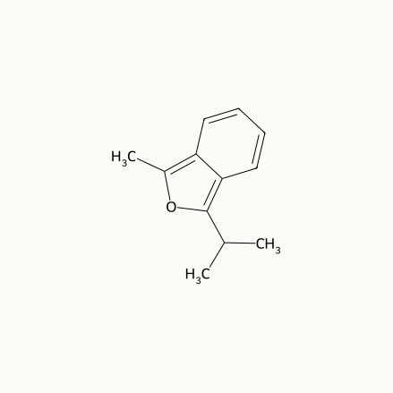 Cc1oc(C(C)C)c2ccccc12